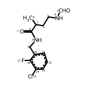 CC(CCNC=O)C(=O)NCc1cccc(Cl)c1F